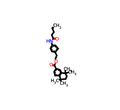 C=CCCC(=O)Nc1ccc(CCOC(=O)c2ccc3c(c2)C(C)(C)CCC3(C)C)cc1